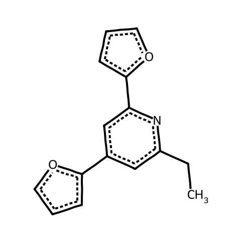 CCc1cc(-c2ccco2)cc(-c2ccco2)n1